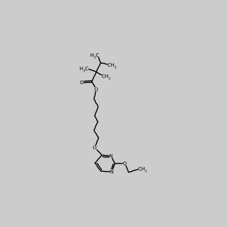 CCOc1nccc(OCCCCCCOC(=O)C(C)(C)C(C)C)n1